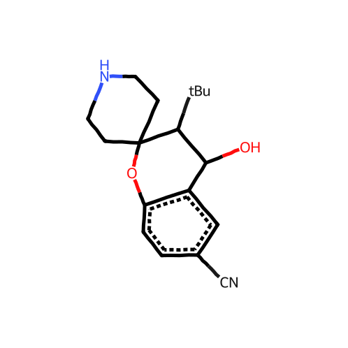 CC(C)(C)C1C(O)c2cc(C#N)ccc2OC12CCNCC2